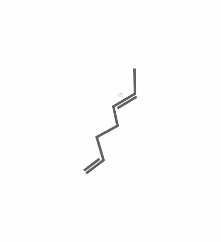 C=CCC/C=C/C